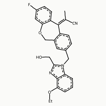 CCOc1cccc2c1nc(CO)n2Cc1ccc2c(c1)COc1cc(F)ccc1/C2=C(\C)C#N